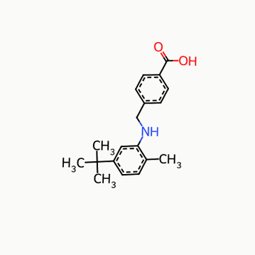 Cc1ccc(C(C)(C)C)cc1NCc1ccc(C(=O)O)cc1